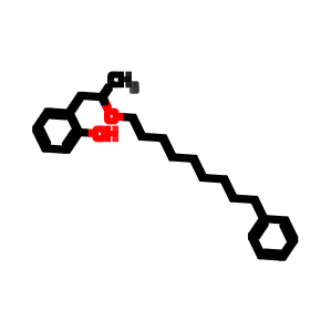 CC(Cc1ccccc1O)OCCCCCCCCCc1ccccc1